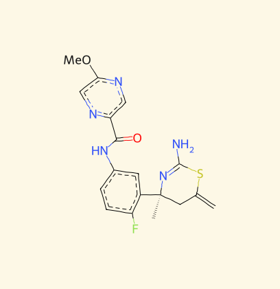 C=C1C[C@@](C)(c2cc(NC(=O)c3cnc(OC)cn3)ccc2F)N=C(N)S1